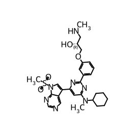 CNC[C@@H](O)COc1cccc(-c2nc(-c3cn(S(C)(=O)=O)c4ncncc34)cc(N(C)C3CCCCC3)n2)c1